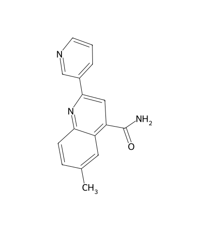 Cc1ccc2nc(-c3cccnc3)cc(C(N)=O)c2c1